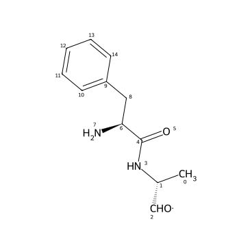 C[C@H]([C]=O)NC(=O)[C@@H](N)Cc1ccccc1